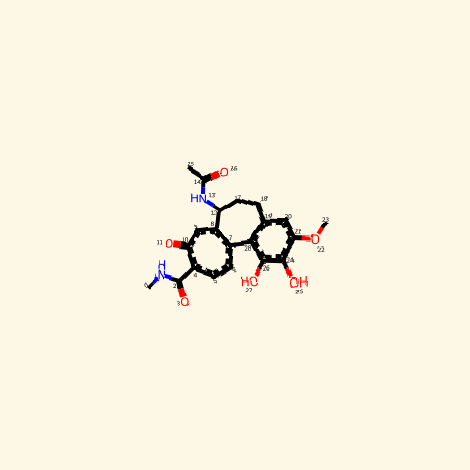 CNC(=O)c1ccc2c(cc1=O)C(NC(C)=O)CCc1cc(OC)c(O)c(O)c1-2